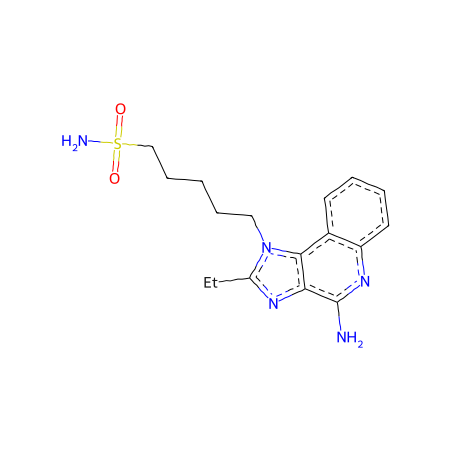 CCc1nc2c(N)nc3ccccc3c2n1CCCCCS(N)(=O)=O